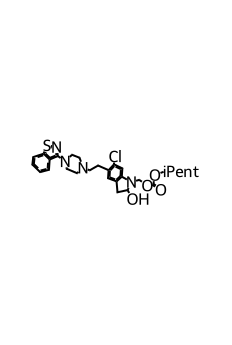 CCCC(C)OC(=O)OCN1c2cc(Cl)c(CCN3CCN(c4nsc5ccccc45)CC3)cc2CC1O